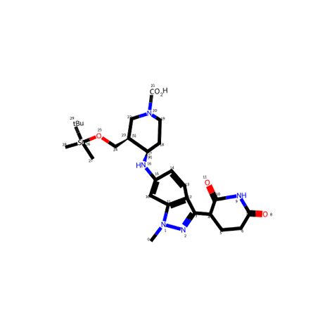 Cn1nc(C2CCC(=O)NC2=O)c2ccc(N[C@@H]3CCN(C(=O)O)C[C@@H]3CO[Si](C)(C)C(C)(C)C)cc21